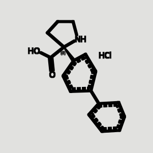 Cl.O=C(O)[C@]1(c2ccc(-c3ccccc3)cc2)CCCN1